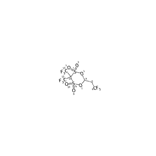 O=S1(=O)OC(CC(F)(F)F)OS(=O)(=O)C1(C(F)(F)F)C(F)(F)F